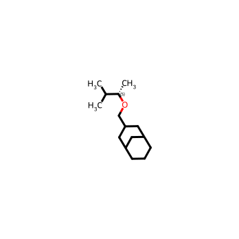 CC(C)[C@H](C)OCC1CC2CCCC(C2)C1